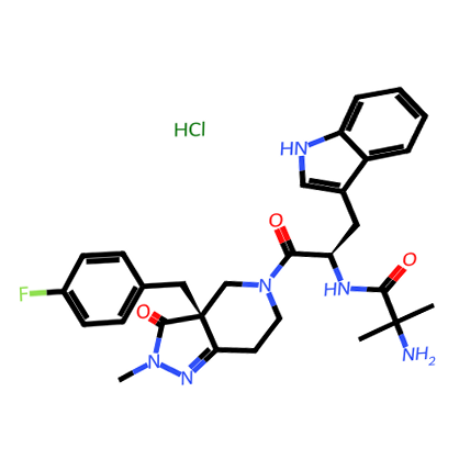 CN1N=C2CCN(C(=O)[C@@H](Cc3c[nH]c4ccccc34)NC(=O)C(C)(C)N)C[C@@]2(Cc2ccc(F)cc2)C1=O.Cl